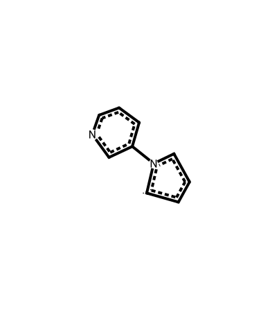 [c]1cccn1-c1cccnc1